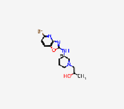 CC(O)CN1CCC[C@@H](Nc2nc3nc(Br)ccc3o2)C1